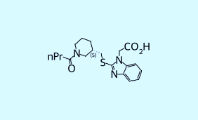 CCCC(=O)N1CCC[C@H](CSc2nc3ccccc3n2CC(=O)O)C1